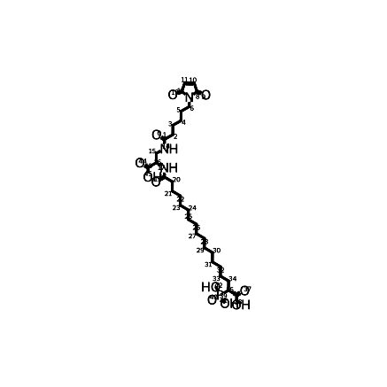 O=C(CCCCCN1C(=O)C=CC1=O)NCC(NC(=O)CCCCCCCCCCCCCCCC(C(=O)O)P(=O)(O)O)C(=O)O